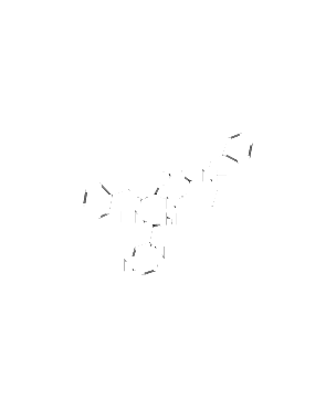 CC(C)C[C@H](NC(=O)[C@H](Cc1ccccc1)NC(=O)c1cnccn1)C(=O)NCc1ccccc1